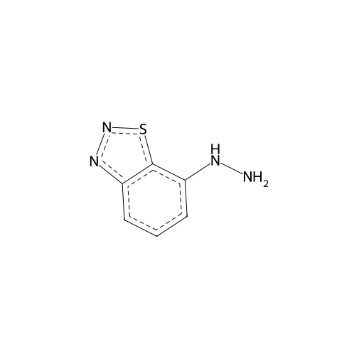 NNc1cccc2nnsc12